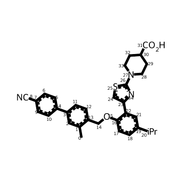 Cc1cc(-c2ccc(C#N)cc2)ccc1COc1ccc(C(C)C)cc1-c1csc(N2CCC(C(=O)O)CC2)n1